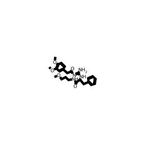 COCCCNC(=O)C(Cc1ccccc1)NC(N)=NC(=O)Cc1ccc(OC)c(OC)c1